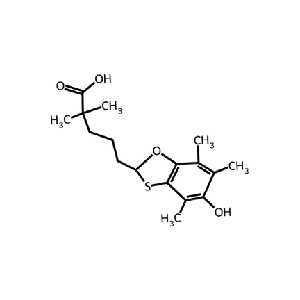 Cc1c(C)c2c(c(C)c1O)SC(CCCC(C)(C)C(=O)O)O2